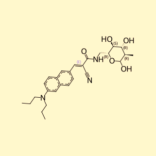 CCCN(CCC)c1ccc2cc(/C=C(\C#N)C(=O)NC[C@H]3OC(O)[C@H](C)[C@@H](O)[C@@H]3O)ccc2c1